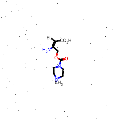 CCC(C(=O)O)=C(N)COC(=O)N1CCN(C)CC1